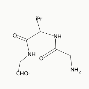 CC(C)C(NC(=O)CN)C(=O)NC[C]=O